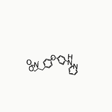 CN1C(=O)OCC1Cc1ccc(Oc2ccc(Nc3ccccn3)cc2)cc1